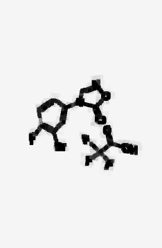 O=C(O)C(F)(F)F.O=c1oncn1-c1ccc(F)c(Br)c1